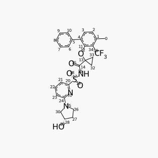 Cc1ccc(-c2ccccc2)c(OC2(C(=O)NS(=O)(=O)c3cccc(N4CC[C@H](O)C4)n3)CC2)c1C(F)(F)F